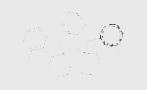 Cc1ccccc1C1CCCOC1(Cc1ccccc1)OC1(Cc2ccccc2)OCCCC1c1ccccc1C